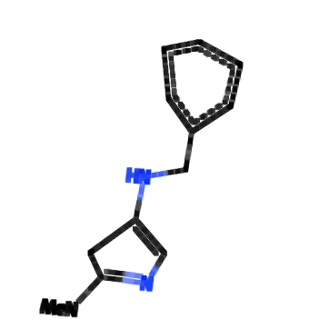 CNC1=NC=C(NCc2ccccc2)C1